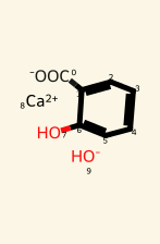 O=C([O-])c1ccccc1O.[Ca+2].[OH-]